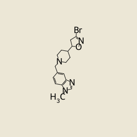 Cn1cnc2cc(CN3CCC(C4CC(Br)=NO4)CC3)ccc21